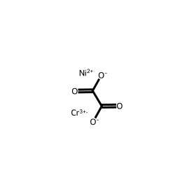 O=C([O-])C(=O)[O-].[Cr+3].[Ni+2]